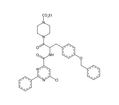 CCOC(=O)N1CCN(C(=O)C(Cc2ccc(OCc3ccccc3)cc2)NC(=O)c2cc(Cl)nc(-c3ccccc3)n2)CC1